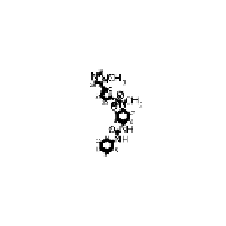 CN(c1ccc(NC(=O)Nc2ccccc2)cc1)S(=O)(=O)c1ccc(-c2cncn2C)s1